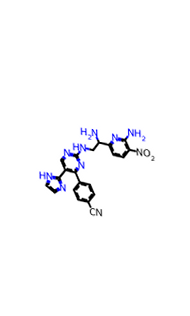 N#Cc1ccc(-c2nc(NCC(N)c3ccc([N+](=O)[O-])c(N)n3)ncc2-c2ncc[nH]2)cc1